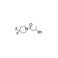 CC(C)C(C)CC(=O)N1CCC(F)(F)CC1